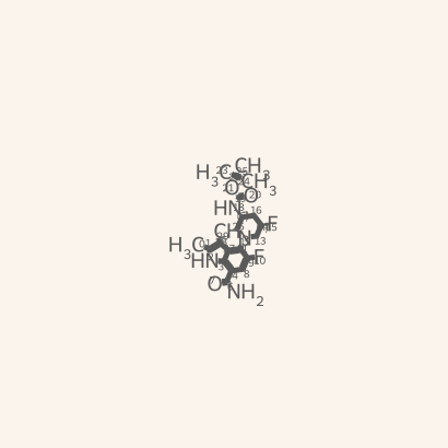 Cc1[nH]c2c(C(N)=O)cc(F)c(N3C[C@H](F)C[C@H](NC(=O)OC(C)(C)C)C3)c2c1C